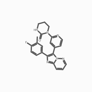 Cc1cc(-c2nc3cccnn3c2-c2ccnc(N3CCCNC3=O)c2)ccc1F